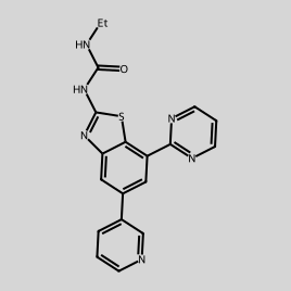 CCNC(=O)Nc1nc2cc(-c3cccnc3)cc(-c3ncccn3)c2s1